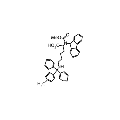 COC(=O)N(C(CCCCNC(c1ccccc1)(c1ccccc1)c1ccc(C)cc1)C(=O)O)C1c2ccccc2-c2ccccc21